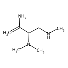 C=C(N)C(CNC)N(C)C